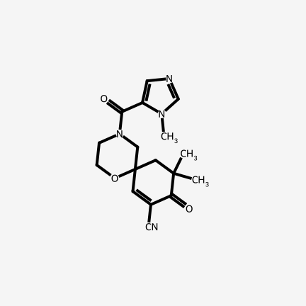 Cn1cncc1C(=O)N1CCOC2(C=C(C#N)C(=O)C(C)(C)C2)C1